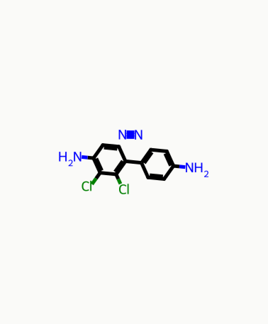 N#N.Nc1ccc(-c2ccc(N)c(Cl)c2Cl)cc1